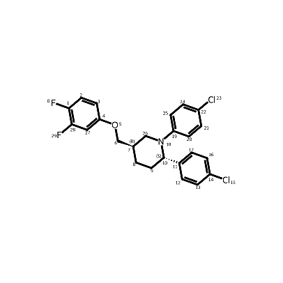 Fc1ccc(OC[C@@H]2CC[C@@H](c3ccc(Cl)cc3)N(c3ccc(Cl)cc3)C2)cc1F